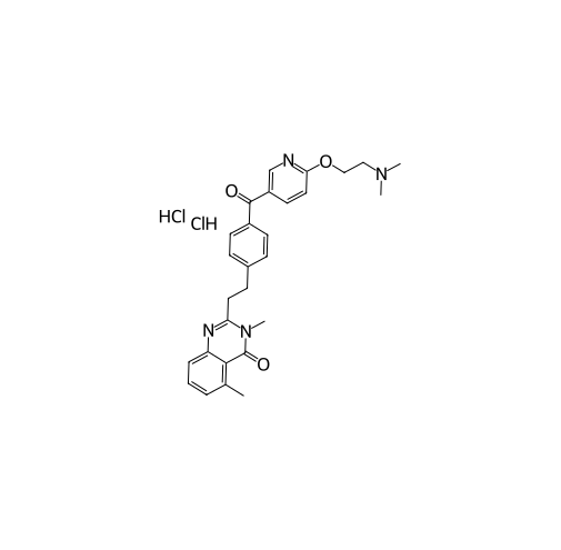 Cc1cccc2nc(CCc3ccc(C(=O)c4ccc(OCCN(C)C)nc4)cc3)n(C)c(=O)c12.Cl.Cl